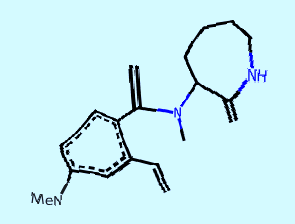 C=Cc1cc(NC)ccc1C(=C)N(C)C1CCCCNC1=C